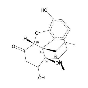 CCC[C@]12c3c4ccc(O)c3O[C@H]1C(=O)CC(O)[C@@]2(O)[C@H](C)C4